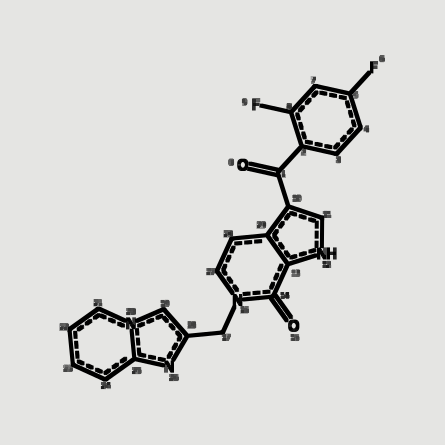 O=C(c1ccc(F)cc1F)c1c[nH]c2c(=O)n(Cc3cn4ccccc4n3)ccc12